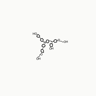 OCCCOc1ccc(C(=Cc2ccc(N(c3ccc(-c4ccc(O)cc4)cc3)c3ccc(-c4ccc(OCCCO)cc4)cc3)cc2)c2ccc(O)cc2)cc1